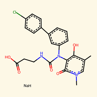 Cc1cn(C)c(=O)c(N(C(=O)NCCC(=O)O)c2cccc(-c3ccc(Cl)cc3)c2)c1O.[NaH]